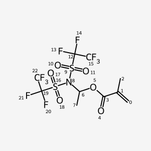 C=C(C)C(=O)OC(C)N(S(=O)(=O)C(F)(F)C(F)(F)F)S(=O)(=O)C(F)(F)C(F)(F)F